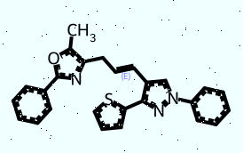 Cc1oc(-c2ccccc2)nc1C/C=C/c1cn(-c2ccccc2)nc1-c1cccs1